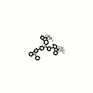 CC1(C)c2ccccc2-c2cc(N(c3ccc(-c4ccc5c6ccccc6n(-c6ccccc6)c5c4)cc3)c3cccc(-c4cccc5c4-c4ccccc4C5(C)C)c3)ccc21